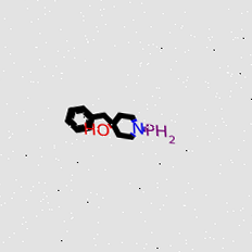 OC1(Cc2ccccc2)CCN(P)CC1